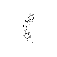 Cc1ccc(CCNCC(O)c2ccccc2)cn1